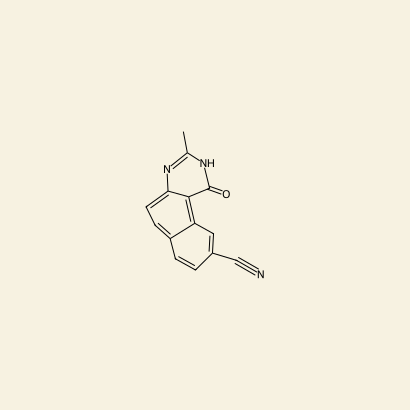 Cc1nc2ccc3ccc(C#N)cc3c2c(=O)[nH]1